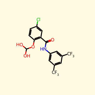 O=C(Nc1cc(C(F)(F)F)cc(C(F)(F)F)c1)c1cc(Cl)ccc1OC(O)O